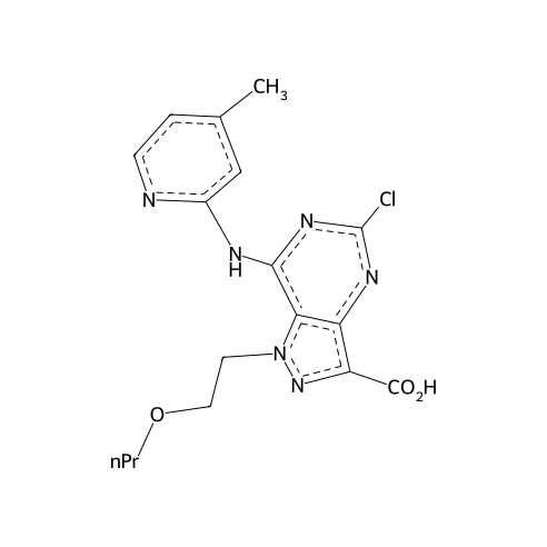 CCCOCCn1nc(C(=O)O)c2nc(Cl)nc(Nc3cc(C)ccn3)c21